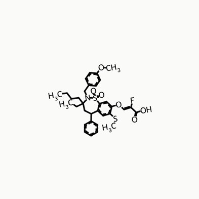 CCCCC1(CC)CC(c2ccccc2)c2cc(SC)c(O/C=C(\F)C(=O)O)cc2S(=O)(=O)N1Cc1ccc(OC)cc1